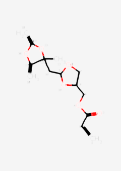 C=CC(=O)OCC1COC(CC2(C)OC(=C)OC2=C)O1